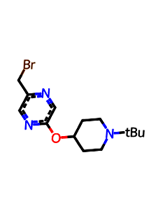 CC(C)(C)N1CCC(Oc2cnc(CBr)cn2)CC1